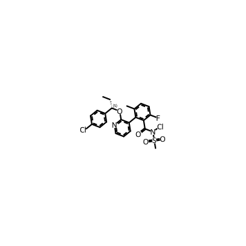 CC[C@H](Oc1ncccc1-c1c(C)ccc(F)c1C(=O)N(Cl)S(C)(=O)=O)c1ccc(Cl)cc1